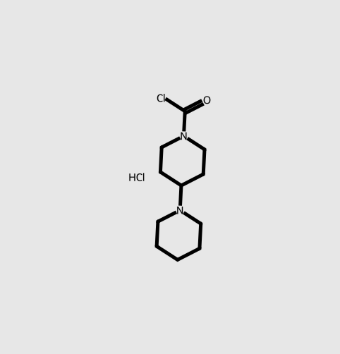 Cl.O=C(Cl)N1CCC(N2CCCCC2)CC1